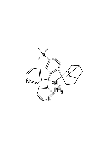 C[Si](C)(C)c1ccc(C2(CP)C3CC4CC(C3)CC2C4)c(C(P)(c2cccnc2)c2cccnc2)c1